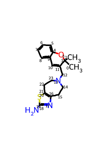 CC1(C)Oc2ccccc2C=C1CN1CCc2nc(N)sc2CC1